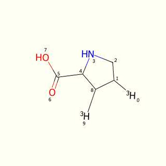 [3H]C1CNC(C(=O)O)C1[3H]